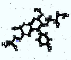 CC(C)CN1C=C2CC(=O)C(/C=C/C(N)=O)C=C2C(c2ccc(Cl)cc2)=C1CNC(=O)OC(C)(C)C